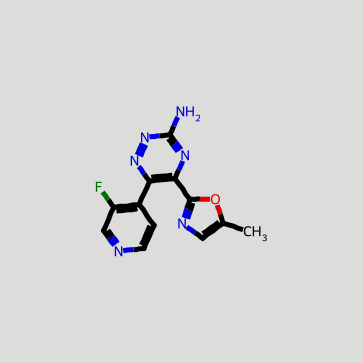 Cc1cnc(-c2nc(N)nnc2-c2ccncc2F)o1